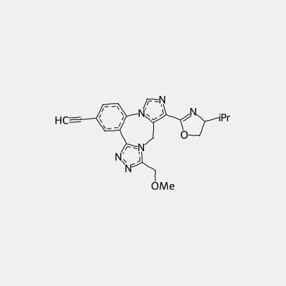 C#Cc1ccc2c(c1)-c1nnc(COC)n1Cc1c(C3=NC(C(C)C)CO3)ncn1-2